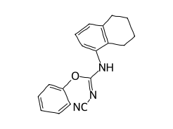 N#C/N=C(/Nc1cccc2c1CCCC2)Oc1ccccc1